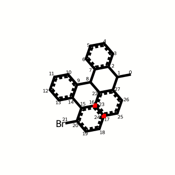 CC1c2ccccc2C(c2ccccc2-c2ccccc2Br)c2ccccc21